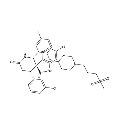 CS(=O)(=O)CCCN1CCC(Oc2ccc(I)cc2[C@H]2NC(=O)C[C@@H](c3cccc(Cl)c3)[C@]23C(=O)Nc2cc(Cl)ccc23)CC1